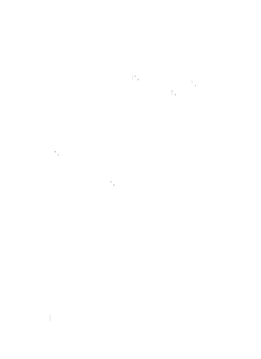 Cc1cc(Nc2ccc(-c3c(C#N)c4ccc(OCCF)cc4n3C3CCC3)cc2)n(C)n1